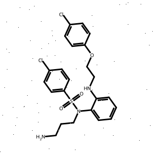 NCCCN(c1ccccc1NCCOc1ccc(Cl)cc1)S(=O)(=O)c1ccc(Cl)cc1